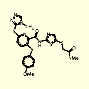 CNC(=O)CSc1cnc(NC(=O)c2nc(Sc3nncn3C)ccc2Sc2ccc(OC)cc2)s1